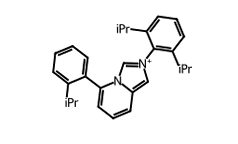 CC(C)c1ccccc1-c1cccc2c[n+](-c3c(C(C)C)cccc3C(C)C)cn12